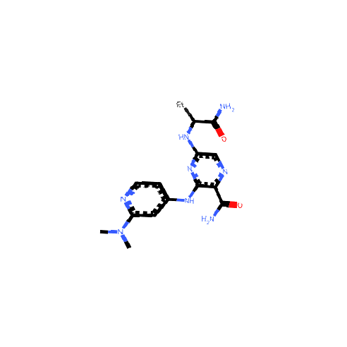 CCC(Nc1cnc(C(N)=O)c(Nc2ccnc(N(C)C)c2)n1)C(N)=O